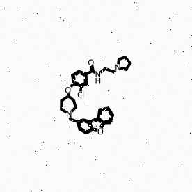 O=C(NCCN1CCCC1)c1ccc(OC2CCN(Cc3ccc4oc5ccccc5c4c3)CC2)c(Cl)c1